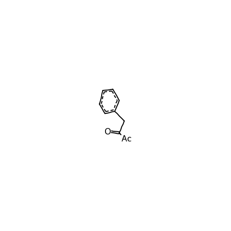 CC(=O)C(=O)Cc1ccccc1